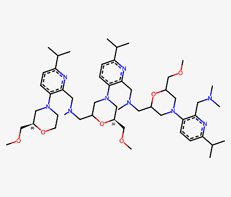 COCC1CN(c2ccc(C(C)C)nc2CN(C)C)CC(CN(C)Cc2nc(C(C)C)ccc2N2CC(CN(C)Cc3nc(C(C)C)ccc3N3CCO[C@@H](COC)C3)O[C@H](COC)C2)O1